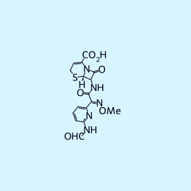 CON=C(C(=O)NC1C(=O)N2C(C(=O)O)=CCS[C@@H]12)c1cccc(NC=O)n1